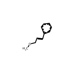 [CH2]OC/C=C/c1ccccc1